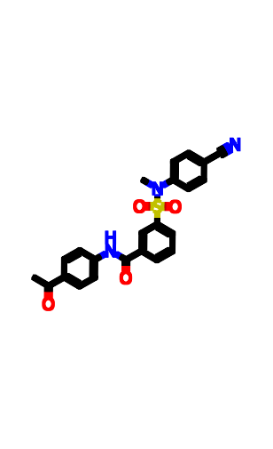 CC(=O)c1ccc(NC(=O)c2cccc(S(=O)(=O)N(C)c3ccc(C#N)cc3)c2)cc1